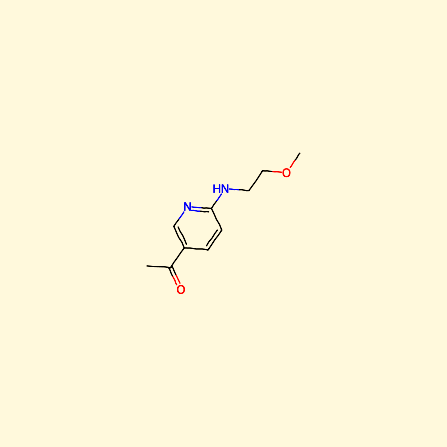 COCCNc1ccc(C(C)=O)cn1